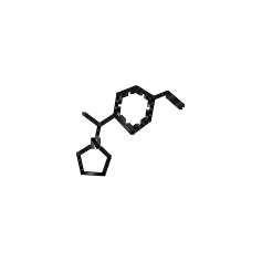 C=Cc1ccc(C(C)N2CCCC2)cc1